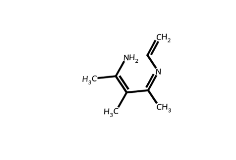 C=C/N=C(C)\C(C)=C(\C)N